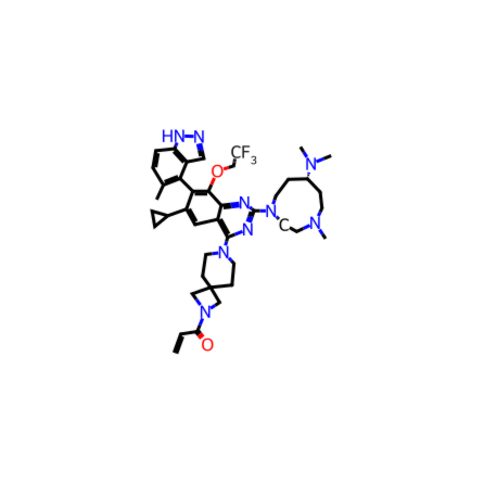 C=CC(=O)N1CC2(CCN(c3nc(N4CC[C@H](N(C)C)CCN(C)CC4)nc4c(OCC(F)(F)F)c(-c5c(C)ccc6[nH]ncc56)c(C5CC5)cc34)CC2)C1